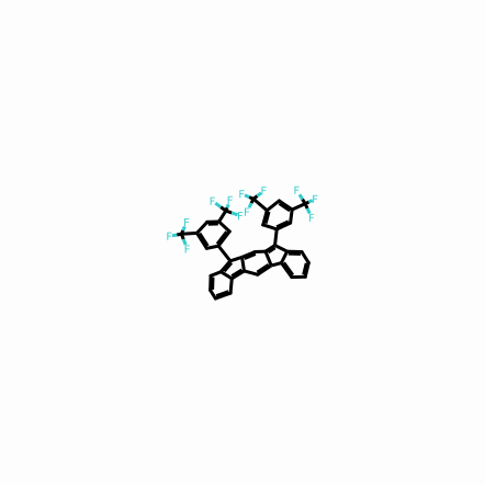 FC(F)(F)c1cc(C2=c3cc4c(cc3-c3ccccc32)=c2ccccc2=C4c2cc(C(F)(F)F)cc(C(F)(F)F)c2)cc(C(F)(F)F)c1